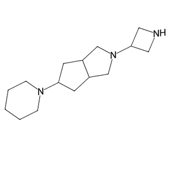 C1CCN(C2CC3CN(C4CNC4)CC3C2)CC1